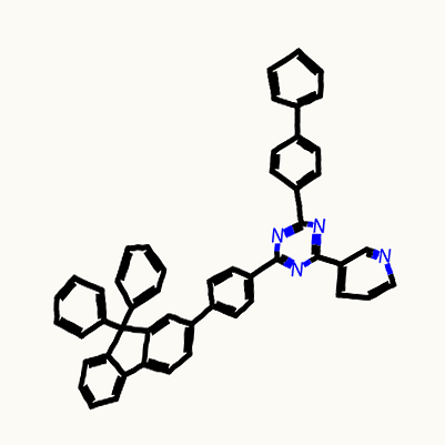 c1ccc(-c2ccc(-c3nc(-c4ccc(-c5ccc6c(c5)C(c5ccccc5)(c5ccccc5)c5ccccc5-6)cc4)nc(-c4cccnc4)n3)cc2)cc1